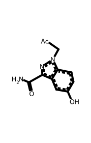 CC(=O)Cn1nc(C(N)=O)c2cc(O)ccc21